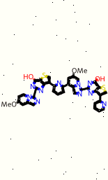 COc1ccn2c(-c3nc(O)c4scc(-c5cccc(-c6cc(OC)cn7c(-c8nc(O)c9scc(-c%10ccccn%10)c9n8)ncc67)n5)c4n3)ncc2c1